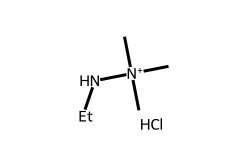 CCN[N+](C)(C)C.Cl